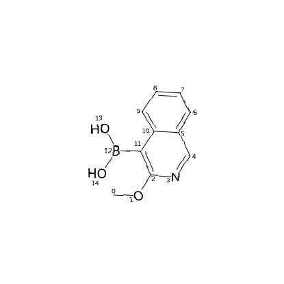 COc1ncc2ccccc2c1B(O)O